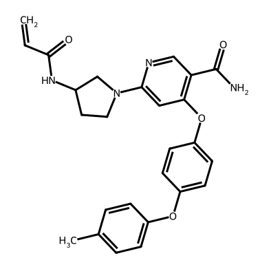 C=CC(=O)NC1CCN(c2cc(Oc3ccc(Oc4ccc(C)cc4)cc3)c(C(N)=O)cn2)C1